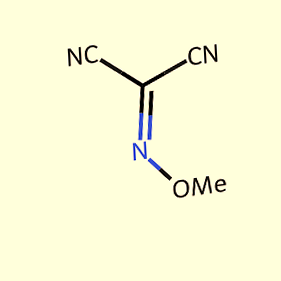 CON=C(C#N)C#N